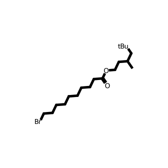 CC(CCOC(=O)CCCCCCCCCBr)CC(C)(C)C